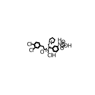 CN(C(=O)Cc1ccc(Cl)c(Cl)c1)[C@@H](CN1CCCC1)c1cccc(NS(=O)(=O)O)c1.Cl